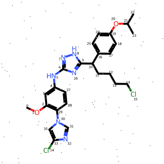 COc1cc(Nc2n[nH]c(C(CCCCCl)c3ccc(OC(C)C)cc3)n2)ccc1-n1cnc(Cl)c1